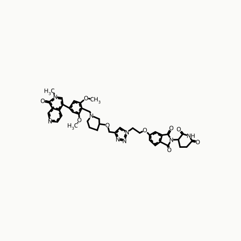 COc1cc(-c2cn(C)c(=O)c3cnccc23)cc(OC)c1CN1CCCC(OCc2cn(CCOc3ccc4c(c3)C(=O)N(C3CCC(=O)NC3=O)C4=O)nn2)C1